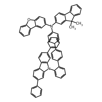 CC1(C)c2ccccc2-c2ccc(N(C3=CCC(c4ccc(-c5ccccc5-n5c6cc(-c7ccccc7)ccc6c6ccc(-c7ccccc7)cc65)cc4)C=C3)c3ccc4oc5ccccc5c4c3)cc21